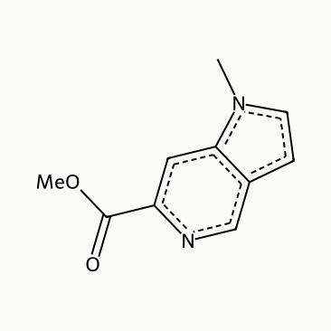 COC(=O)c1cc2c(ccn2C)cn1